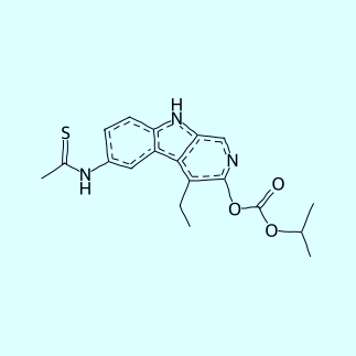 CCc1c(OC(=O)OC(C)C)ncc2[nH]c3ccc(NC(C)=S)cc3c12